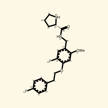 COc1cc(OCCc2ccc(F)cc2)c(F)cc1CNC(=O)[C@@H]1CCCN1